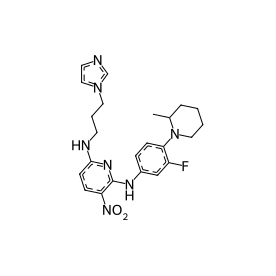 CC1CCCCN1c1ccc(Nc2nc(NCCCn3ccnc3)ccc2[N+](=O)[O-])cc1F